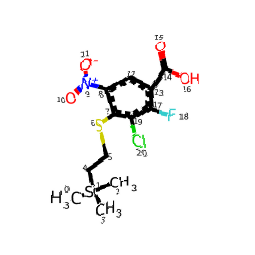 C[Si](C)(C)CCSc1c([N+](=O)[O-])cc(C(=O)O)c(F)c1Cl